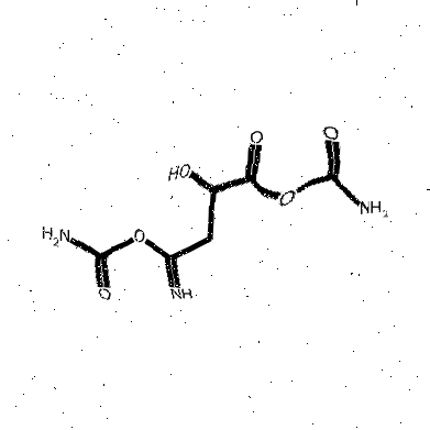 N=C(CC(O)C(=O)OC(N)=O)OC(N)=O